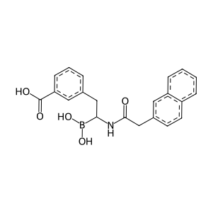 O=C(Cc1ccc2ccccc2c1)NC(Cc1cccc(C(=O)O)c1)B(O)O